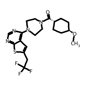 CO[C@H]1CC[C@H](C(=O)N2CCN(c3ncnc4sc(CC(F)(F)F)cc34)CC2)CC1